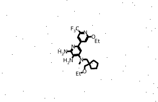 CCOCC1(CN(C)c2cc(-c3cc(OCC)nc(C(F)(F)F)c3)nc(N)c2N)CCCC1